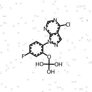 OC(O)(O)Oc1cc(F)ccc1-n1ncc2c(Cl)ncnc21